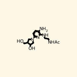 CC(=O)NCCNc1nc(N2CC(O)C(CO)C2)ccc1N